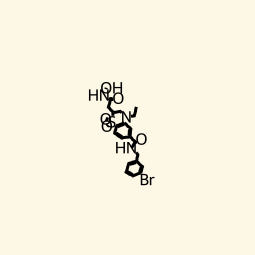 CCN1CC(CC(=O)NO)S(=O)(=O)c2ccc(C(=O)NCc3cccc(Br)c3)cc21